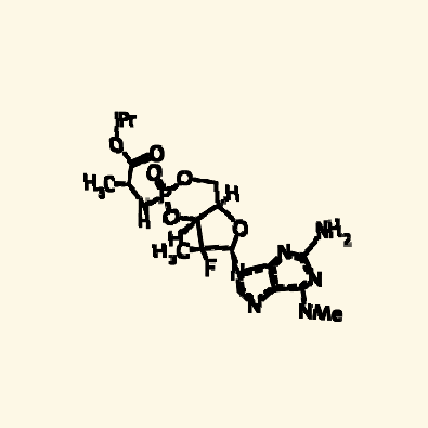 CNc1nc(N)nc2c1ncn2[C@@H]1O[C@@H]2COP(=O)(N[C@@H](C)C(=O)OC(C)C)O[C@H]2[C@@]1(C)F